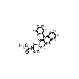 CC(=O)N1CCN(Cc2cc3ccccc3n(-c3ccccc3)c2=O)CC1